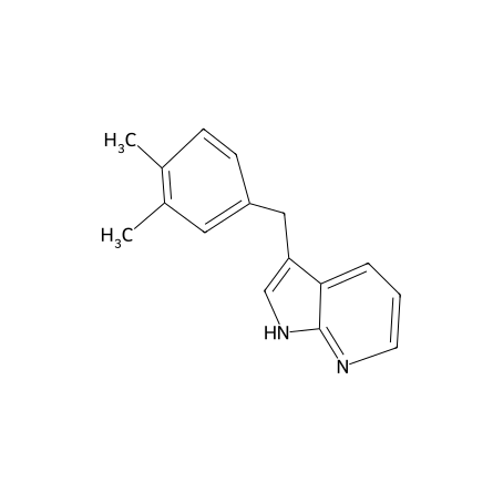 Cc1ccc(Cc2c[nH]c3ncccc23)cc1C